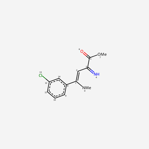 CN/C(=C\C(=N)C(=O)OC)c1cccc(Cl)c1